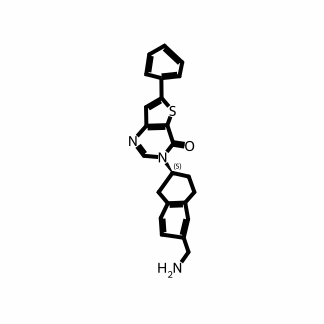 NCc1ccc2c(c1)CC[C@H](n1cnc3cc(-c4ccccc4)sc3c1=O)C2